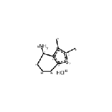 Cc1sc2c(c1C)C(N)CCC2.Cl